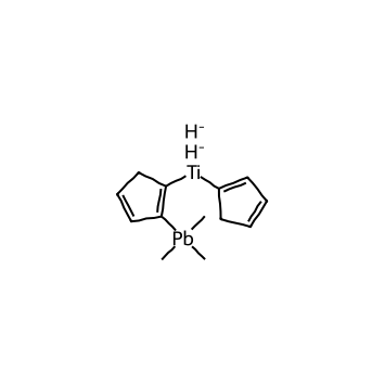 [CH3][Pb]([CH3])([CH3])[C]1=[C]([Ti][C]2=CC=CC2)CC=C1.[H-].[H-]